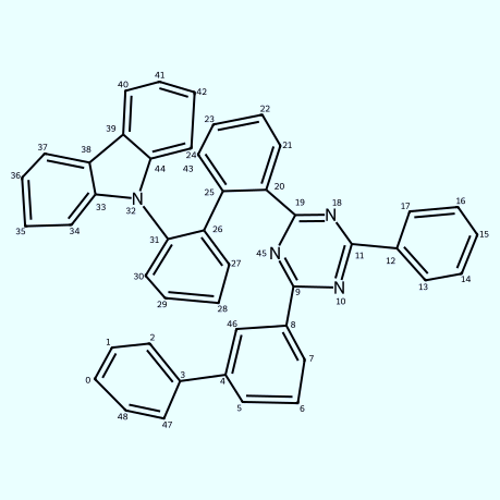 c1ccc(-c2cccc(-c3nc(-c4ccccc4)nc(-c4ccccc4-c4ccccc4-n4c5ccccc5c5ccccc54)n3)c2)cc1